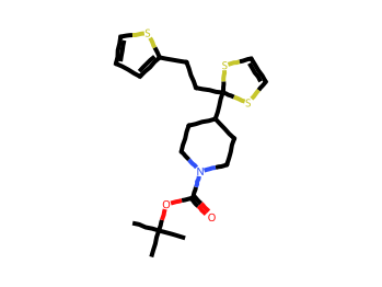 CC(C)(C)OC(=O)N1CCC(C2(CCc3cccs3)SC=CS2)CC1